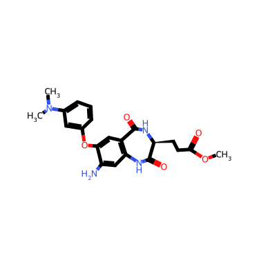 COC(=O)CC[C@@H]1NC(=O)c2cc(Oc3cccc(N(C)C)c3)c(N)cc2NC1=O